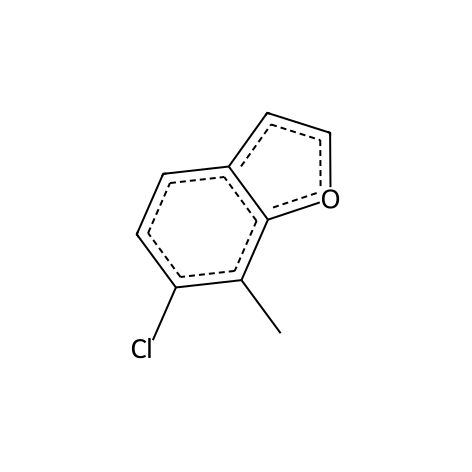 Cc1c(Cl)ccc2ccoc12